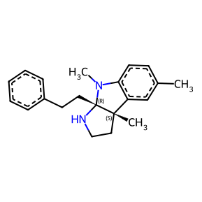 Cc1ccc2c(c1)[C@]1(C)CCN[C@]1(CCc1ccccc1)N2C